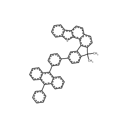 CC1(C)c2ccc(-c3cccc(-c4c5ccccc5c(-c5ccccc5)c5ccccc45)c3)cc2-c2c1ccc1ccc3c4ccccc4sc3c21